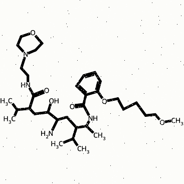 COCCCCCOc1ccccc1C(=O)NC(C)C(CC(N)C(O)CC(C(=O)NCCN1CCOCC1)C(C)C)C(C)C